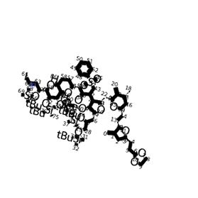 C=C1C[C@H](CCC2OCCO2)O[C@H]1CC[C@H]1C[C@@H](C)C(=C)[C@@H](C[C@@H]2O[C@H](CC(CO[Si](C)(C)C(C)(C)C)O[Si](C)(C)C(C)(C)C)[C@H](OC)C2C(CS(=O)(=O)c2ccccc2)C(=O)C[C@H]2CC[C@@H]3O[C@@H](C(/C=C/I)O[Si](C)(C)C(C)(C)C)C(O[Si](C)(C)C(C)(C)C)C(O[Si](C)(C)C(C)(C)C)[C@H]3O2)O1